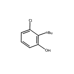 CCCCc1c(O)cccc1Cl